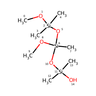 CO[Si](C)(C)O[Si](C)(OC)O[Si](C)(C)O